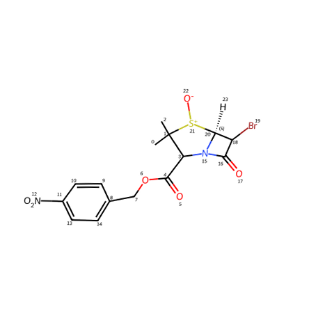 CC1(C)C(C(=O)OCc2ccc([N+](=O)[O-])cc2)N2C(=O)C(Br)[C@@H]2[S+]1[O-]